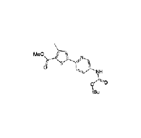 COC(=O)c1sc(-c2ccc(NC(=O)OC(C)(C)C)cn2)cc1C